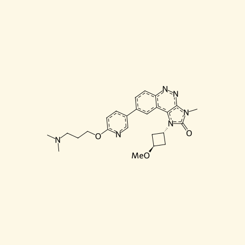 CO[C@H]1C[C@H](n2c(=O)n(C)c3nnc4ccc(-c5ccc(OCCCN(C)C)nc5)cc4c32)C1